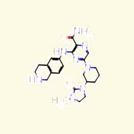 CN1CCN(C2CCCN(c3cnc(C(N)=O)c(Nc4ccc5c(c4)CCNC5)n3)C2)C1=O